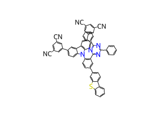 N#Cc1cc(C#N)cc(-c2ccc3c(c2)c2cc(-c4cc(C#N)cc(C#N)c4)ccc2n3-c2ccc(-c3ccc4c(c3)sc3ccccc34)cc2-c2nc(-c3ccccc3)nc(-c3ccccc3)n2)c1